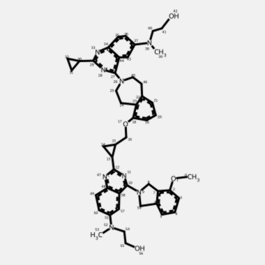 COc1cccc2c1CN(c1nc(C3CC3COc3cccc4c3CCN(c3nc(C5CC5)nc5ccc(N(C)CCO)cc35)CC4)nc3ccc(N(C)CCO)cc13)C2